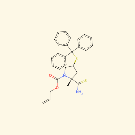 C=CCOC(=O)N1C[C@@H](SC(c2ccccc2)(c2ccccc2)c2ccccc2)C[C@]1(C)C(N)=S